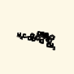 C=CCOC(=O)Oc1cc(C)c(C(N)CC(=O)N2CC(C)Cc3ccccc32)c(Cl)c1